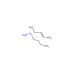 CC=CCC.CCCCCN